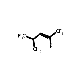 CC(C=C(F)C(F)(F)F)C(F)(F)F